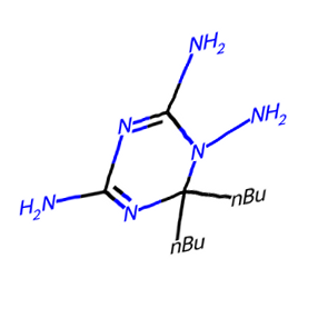 CCCCC1(CCCC)N=C(N)N=C(N)N1N